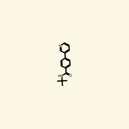 CC(C)(C)NC(=O)c1ccc(-c2cccnc2)cc1